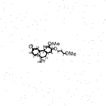 COCCCOc1cc2c(nc1OC)-c1cc(=O)ccn1[C@H](C(C)C)C2